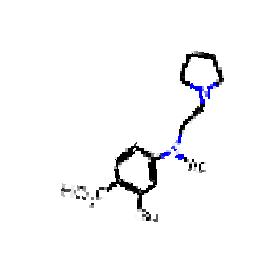 CC(=O)N(CCN1CCCC1)c1ccc(C(=O)O)c(C(C)(C)C)c1